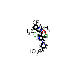 Cc1cc(C(F)(F)F)cc2c1cc(C(=O)c1c(Cl)ncc(CN3CCC(CC(=O)O)CC3)c1Cl)n2C